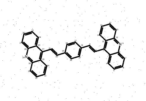 C(=Cc1c2ccccc2nc2ccccc12)c1ccc(C=Cc2c3ccccc3nc3ccccc23)cc1